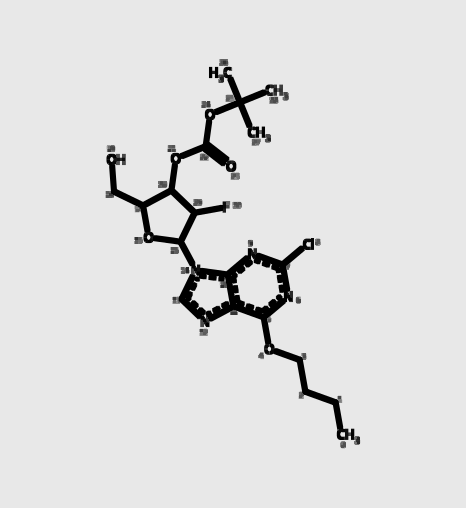 CCCCOc1nc(Cl)nc2c1ncn2C1OC(CO)C(OC(=O)OC(C)(C)C)C1F